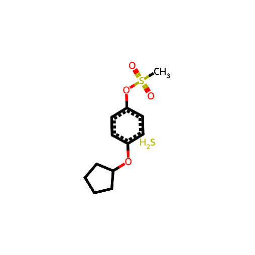 CS(=O)(=O)Oc1ccc(OC2CCCC2)cc1.S